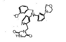 COc1cccc(CN(c2cccc(N3CCOCC3)c2)c2ccnc(CN3CC(=O)NCC3=O)c2)c1